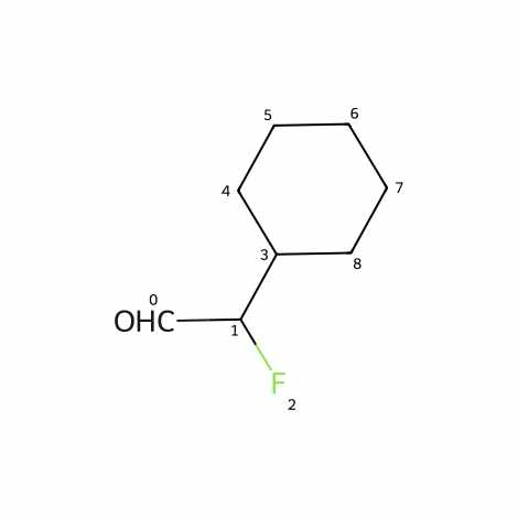 O=CC(F)C1CCCCC1